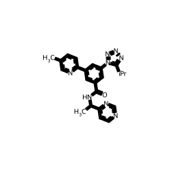 Cc1ccc(-c2cc(C(=O)NC(C)c3ccncn3)cc(-n3nnnc3C(C)C)c2)nc1